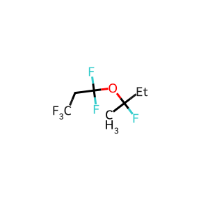 CCC(C)(F)OC(F)(F)CC(F)(F)F